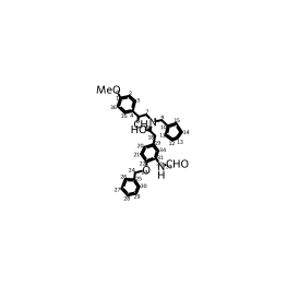 COc1ccc(C(C)CN(Cc2ccccc2)C(O)Cc2ccc(OCc3ccccc3)c(NC=O)c2)cc1